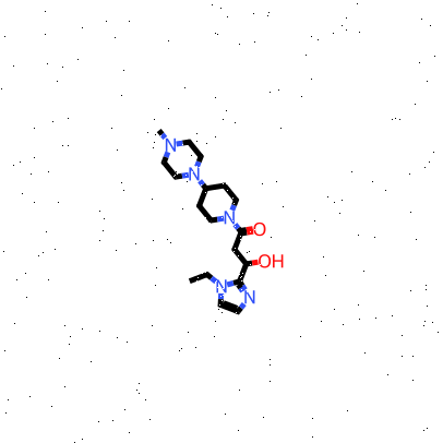 CCn1ccnc1C(O)CC(=O)N1CCC(N2CCN(C)CC2)CC1